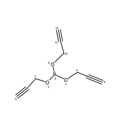 C#CCOB(OCC#C)OCC#C